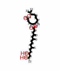 CC(=C\C=C\C(C)=C\C[C@@H](O)C[C@H](C)O)/C=C(C)/C=C/C(=O)O[C@H]1CCCC(=O)O[C@@H](C(C)C)C/C=C/C[C@@H]1C